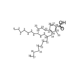 CCCCCCCCCCC(CCCCCCCC)Cc1c(CCCC)ccc(C(=O)O)c1C